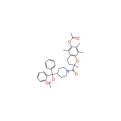 CC(=O)Oc1c(C)c(C)c2c(c1C)CCC(C)(C(=O)N1CCC(C(OC(C)=O)(c3ccccc3)c3ccccc3)CC1)O2